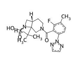 Cc1ccc(-n2nccn2)c(C(=O)N2CC[C@H]3CN(C(=O)O)C3(C(C)(C)C)C2)c1F